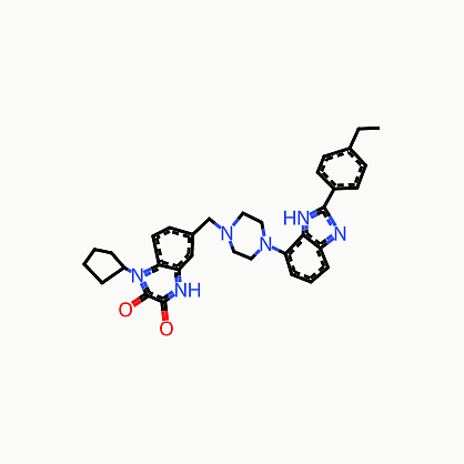 CCc1ccc(-c2nc3cccc(N4CCN(Cc5ccc6c(c5)[nH]c(=O)c(=O)n6C5CCCC5)CC4)c3[nH]2)cc1